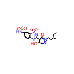 CCC(C)CCn1ncc(O)c(C2=NP(=O)(OC)c3cc(NS(C)(=O)=O)ccc3N2)c1=O